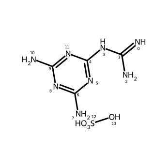 N=C(N)Nc1nc(N)nc(N)n1.O=S(=O)(O)O